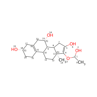 CC(O)OC1=C(O)CC2C3C(CC[C@]12C)C1=C(C[C@@H](O)CC1)C[C@@H]3O